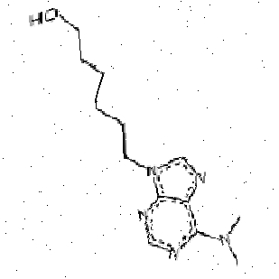 CN(C)c1ncnc2c1ncn2CCCCCCO